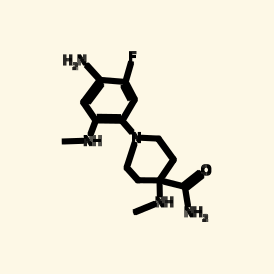 CNc1cc(N)c(F)cc1N1CCC(NC)(C(N)=O)CC1